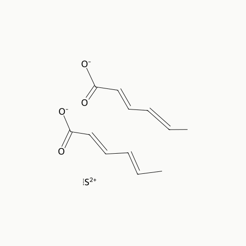 CC=CC=CC(=O)[O-].CC=CC=CC(=O)[O-].[S+2]